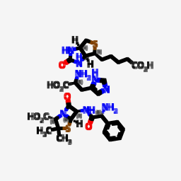 CC1(C)S[C@@H]2[C@H](NC(=O)[C@H](N)c3ccccc3)C(=O)N2[C@H]1C(=O)O.N[C@@H](Cc1cnc[nH]1)C(=O)O.O=C(O)CCCC[C@@H]1SC[C@@H]2NC(=O)N[C@@H]21